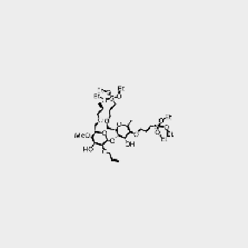 C=CCOC[C@H]1O[C@@H](O[C@H]2[C@H](O)C(OCCC[Si](OCC)(OCC)OCC)[C@H](C)O[C@@H]2COCCC[Si](OCC)(OCC)OCC)C(OCC=C)[C@@H](O)[C@@H]1OC